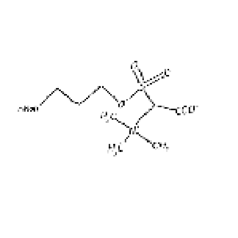 CCCCCCCCCCCCOS(=O)(=O)C(C(=O)[O-])[N+](C)(C)C